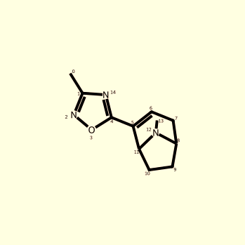 Cc1noc(C2=CCC3CCC2N3C)n1